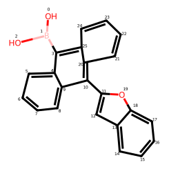 OB(O)c1c2ccccc2c(-c2cc3ccccc3o2)c2ccccc12